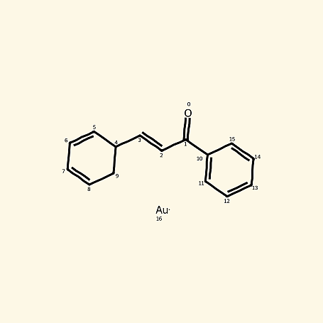 O=C(C=CC1C=CC=CC1)c1ccccc1.[Au]